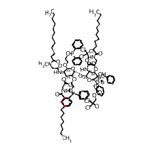 CCCCCCCCCCCC(=O)NCC(=O)O[C@@H]1[C@H](NC(=O)CN(C)C(=O)CCCCCCCCCCC)[C@@H](OCCOP(c2ccccc2)c2ccccc2)O[C@H](CO[C@@H]2O[C@H](COC(=O)OCC(Cl)(Cl)Cl)[C@](O)(P(=O)(Oc3ccccc3)Oc3ccccc3)[C@H](OC(=O)CNC(=O)CCCCCCCCCCC)[C@@H]2NC(=O)OCC(Cl)(Cl)Cl)[C@H]1OCCOP(c1ccccc1)c1ccccc1